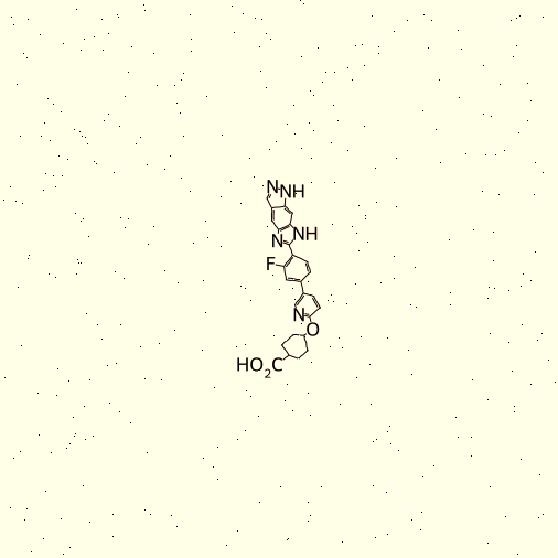 O=C(O)C1CCC(Oc2ccc(-c3ccc(-c4nc5cc6cn[nH]c6cc5[nH]4)c(F)c3)cn2)CC1